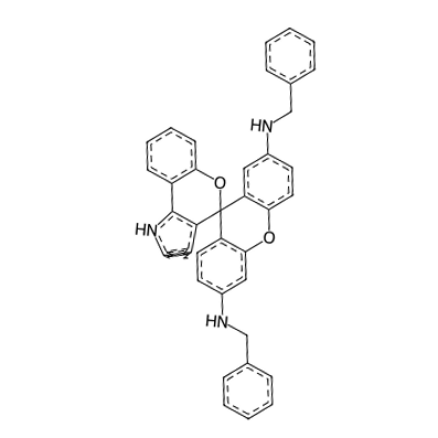 c1ccc(CNc2ccc3c(c2)Oc2ccc(NCc4ccccc4)cc2C32Oc3ccccc3-c3[nH]c4ccccc4c32)cc1